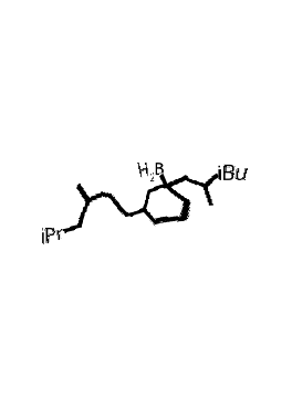 BC1(CC(C)C(C)CC)CCCC(CCC(C)CC(C)C)C1